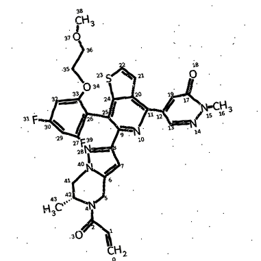 C=CC(=O)N1Cc2cc(-c3nc(-c4cnn(C)c(=O)c4)c4ccsc4c3-c3c(F)cc(F)cc3OCCOC)nn2C[C@H]1C